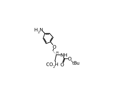 CC(C)(C)OC(=O)N[C@@H](COc1ccc(N)cc1)CC(=O)O